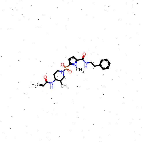 C=CC(=O)NC1CCN(S(=O)(=O)c2ccc(C(=O)NCCc3ccccc3)n2C)CC1C